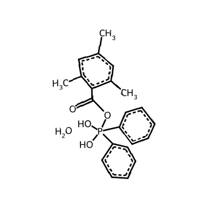 Cc1cc(C)c(C(=O)OP(O)(O)(c2ccccc2)c2ccccc2)c(C)c1.O